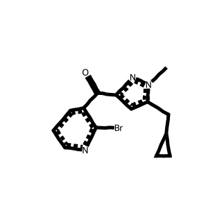 Cn1nc(C(=O)c2cccnc2Br)cc1CC1CC1